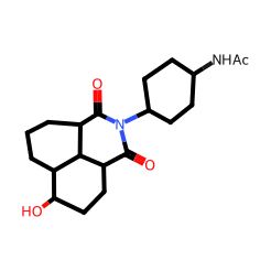 CC(=O)NC1CCC(N2C(=O)C3CCCC4C(O)CCC(C2=O)C34)CC1